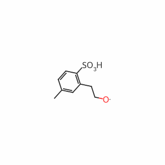 Cc1ccc(S(=O)(=O)O)c(CC[O])c1